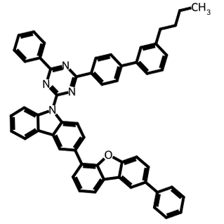 CCCCc1cccc(-c2ccc(-c3nc(-c4ccccc4)nc(-n4c5ccccc5c5cc(-c6cccc7c6oc6ccc(-c8ccccc8)cc67)ccc54)n3)cc2)c1